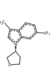 O=C(O)c1cn([C@H]2CCOC2)c2cc(C(F)(F)F)ccc12